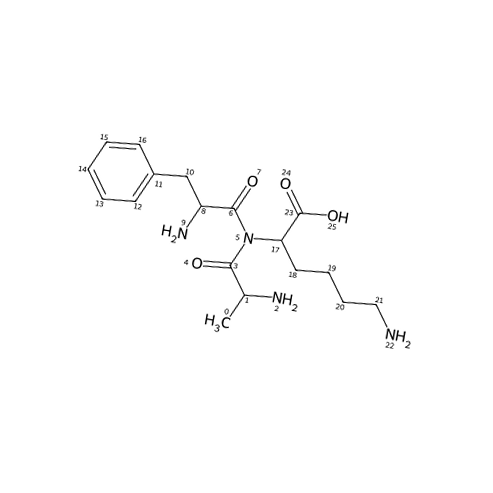 CC(N)C(=O)N(C(=O)C(N)Cc1ccccc1)C(CCCCN)C(=O)O